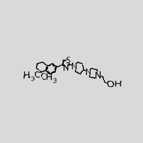 CC1(C)CCCc2cc(-c3csc(N4CCC(N5CCN(CCO)CC5)CC4)n3)ccc21